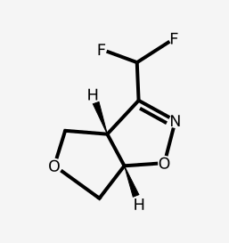 FC(F)C1=NO[C@@H]2COC[C@H]12